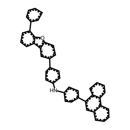 c1ccc(-c2cccc3c2oc2ccc(-c4ccc(Nc5ccc(-c6cc7ccccc7c7ccccc67)cc5)cc4)cc23)cc1